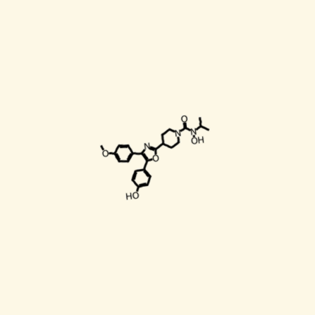 COc1ccc(-c2nc(C3CCN(C(=O)N(O)C(C)C)CC3)oc2-c2ccc(O)cc2)cc1